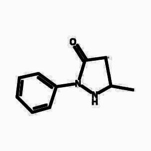 CC1[CH]C(=O)N(c2ccccc2)N1